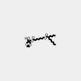 CCCCCCC(CCCC)C(=O)OCCCCCCC(=O)OCC1(CO)COC(C)(C)OC1